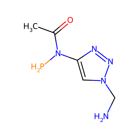 CC(=O)N(P)c1cn(CN)nn1